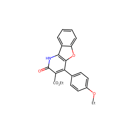 CCOC(=O)c1c(-c2ccc(OCC)cc2)c2oc3ccccc3c2[nH]c1=O